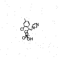 Cc1ccc(/C(Cl)=C\n2ccnc2)c(Cl)c1.O=[N+]([O-])O